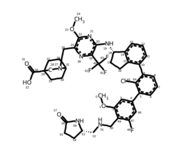 COc1cc(-c2cccc(-c3cccc4c3CC[C@@H]4Nc3nc(OC)c(CN4CC5(C(=O)O)CCC4CC5)nc3C(F)(F)F)c2Cl)cc(F)c1CNC[C@@H]1CCC(=O)N1